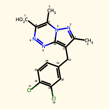 Cc1nn2c(C)c(C(=O)O)nnc2c1Cc1ccc(Cl)c(Cl)c1